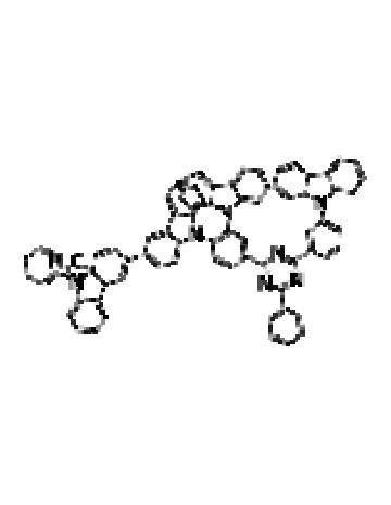 CC12C=CC(c3ccc4c(c3)c3ccccc3n4-c3ccc(-c4nc(-c5ccccc5)nc(-c5cccc(N6c7ccccc7C7C=CC=CC76)c5)n4)cc3-n3c4ccccc4c4ccccc43)=CC1c1ccccc1N2C1=CCCC=C1